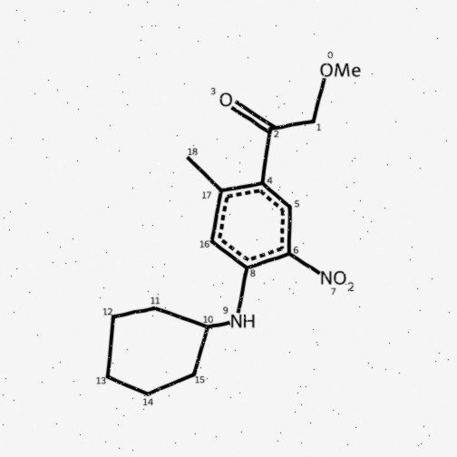 COCC(=O)c1cc([N+](=O)[O-])c(NC2CCCCC2)cc1C